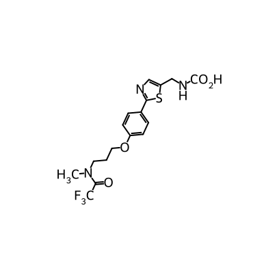 CN(CCCOc1ccc(-c2ncc(CNC(=O)O)s2)cc1)C(=O)C(F)(F)F